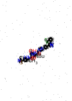 Cc1ncsc1-c1ccc([C@H](C)NC(=O)[C@@H]2C[C@@H](O)CN2C(=O)C(NC(=O)CN2CCN(c3ccc(-c4cnnc(-c5ccccc5C(F)F)c4)cc3)CC2)C(C)(C)C)cc1